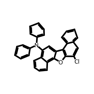 Clc1cc2ccccc2c2c1oc1c3ccccc3c(N(c3ccccc3)c3ccccc3)cc12